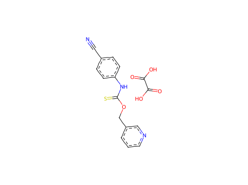 N#Cc1ccc(NC(=S)OCc2cccnc2)cc1.O=C(O)C(=O)O